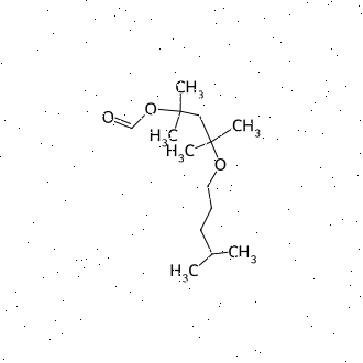 CC(C)CCCOC(C)(C)CC(C)(C)OC=O